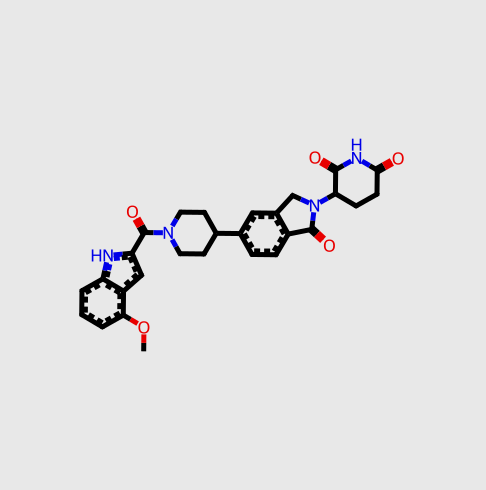 COc1cccc2[nH]c(C(=O)N3CCC(c4ccc5c(c4)CN(C4CCC(=O)NC4=O)C5=O)CC3)cc12